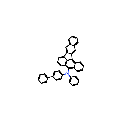 c1ccc(-c2ccc(N(c3ccccc3)c3c4ccccc4c4c5c(cccc35)-c3cc5ccccc5cc3-4)cc2)cc1